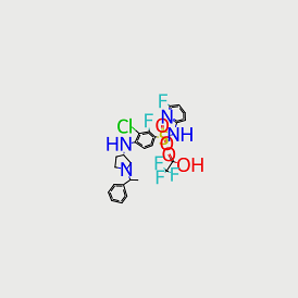 CC(c1ccccc1)N1CC[C@H](Nc2ccc(S(=O)(=O)Nc3cccc(F)n3)c(F)c2Cl)C1.O=C(O)C(F)(F)F